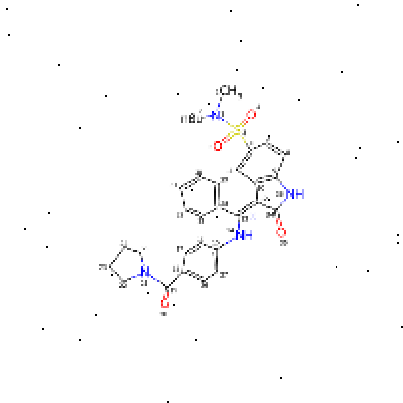 CCCCN(C)S(=O)(=O)c1ccc2c(c1)/C(=C(/Nc1ccc(C(=O)N3CCCC3)cc1)c1ccccc1)C(=O)N2